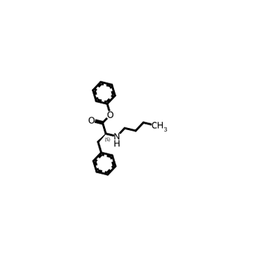 CCCCN[C@@H](Cc1ccccc1)C(=O)Oc1ccccc1